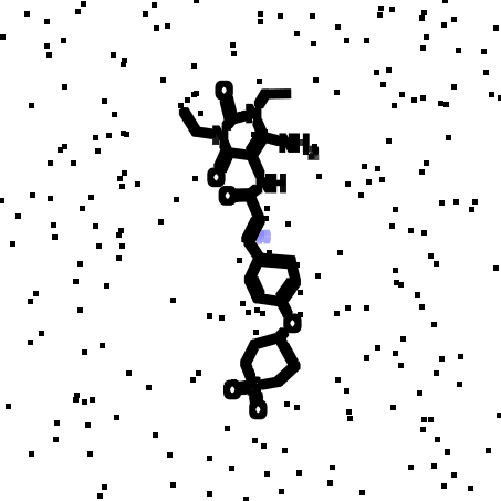 CCn1c(N)c(NC(=O)/C=C/c2ccc(OC3CCS(=O)(=O)CC3)cc2)c(=O)n(CC)c1=O